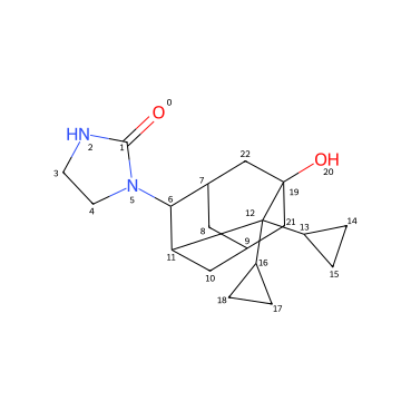 O=C1NCCN1C1C2CC3CC1C(C1CC1)(C1CC1)C(O)(C3)C2